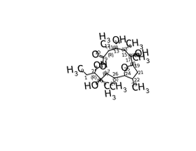 CC[C@@H](O)[C@@](C)(O)[C@@H]1OC(=O)[C@H](C)[C@H](O)[C@H](C)[C@@H](O)[C@@]2(C)CC(C)C(O2)[C@@H]1C